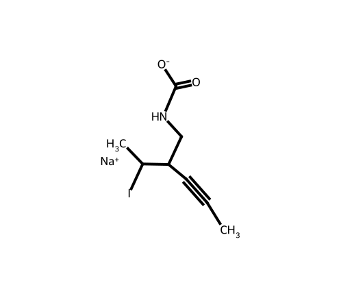 CC#CC(CNC(=O)[O-])C(C)I.[Na+]